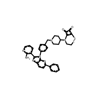 Nc1ncccc1-c1nc2ccc(-c3ccccc3)nc2n1-c1ccc(CN2CCC(N3CCCSc4c3c(=O)c4=O)CC2)cc1